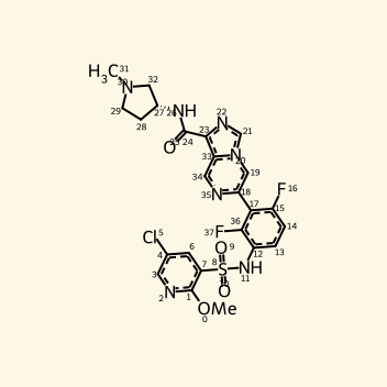 COc1ncc(Cl)cc1S(=O)(=O)Nc1ccc(F)c(-c2cn3cnc(C(=O)N[C@@H]4CCN(C)C4)c3cn2)c1F